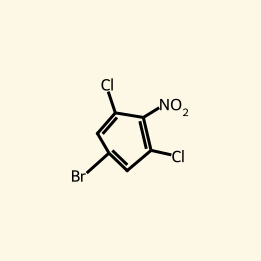 O=[N+]([O-])c1c(Cl)cc(Br)cc1Cl